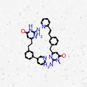 Cn1c(N)nc(Cc2cccc(C=Cc3ccccn3)c2)cc1=O.Nc1nc(CCc2cccc(-c3cccnc3)c2)cc(=O)[nH]1